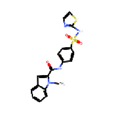 Cn1c(C(=O)Nc2ccc(S(=O)(=O)Nc3nccs3)cc2)cc2ccccc21